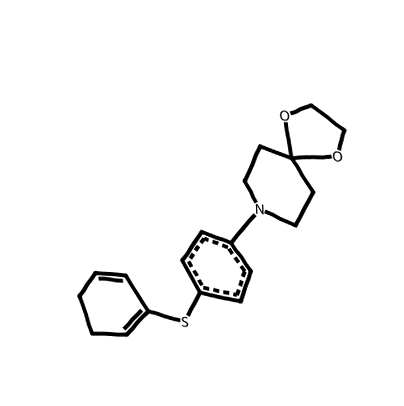 C1=CC(Sc2ccc(N3CCC4(CC3)OCCO4)cc2)=CCC1